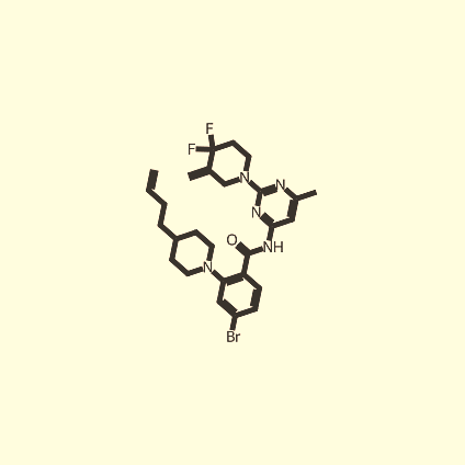 C=CCCC1CCN(c2cc(Br)ccc2C(=O)Nc2cc(C)nc(N3CCC(F)(F)C(=C)C3)n2)CC1